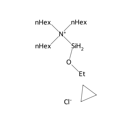 C1CC1.CCCCCC[N+](CCCCCC)(CCCCCC)[SiH2]OCC.[Cl-]